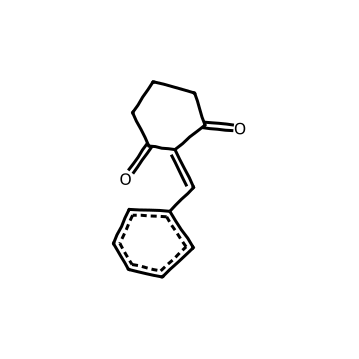 O=C1CCCC(=O)C1=Cc1ccccc1